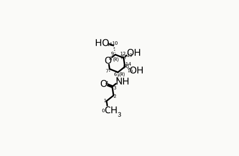 CCCC(=O)N[C@@H]1[CH]O[C@H](CO)[C@@H](O)[C@@H]1O